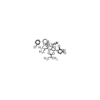 CC(C)C(=O)O[C@H]1[C@H](n2ccc(=O)[nH]c2=O)O[C@@](COP2(=O)OCC[C@@H](c3cccc(Cl)c3)O2)(N=[N+]=[N-])[C@H]1OC(=O)C(C)C